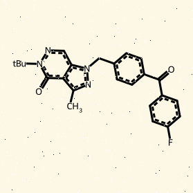 Cc1nn(Cc2ccc(C(=O)c3ccc(F)cc3)cc2)c2cnn(C(C)(C)C)c(=O)c12